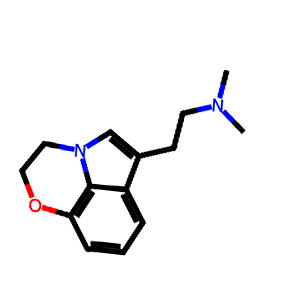 CN(C)CCc1cn2c3c(cccc13)OCC2